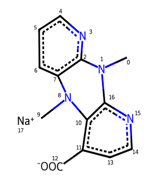 CN1c2ncccc2N(C)c2c(C(=O)[O-])ccnc21.[Na+]